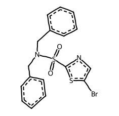 O=S(=O)(c1ncc(Br)s1)N(Cc1ccccc1)Cc1ccccc1